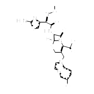 CO/N=C(\C(=O)N[C@@H]1C(=O)N2C(C(=O)[O-])=C(Cn3cc[n+]4cc(Cl)ccc34)CS[C@H]12)c1csc(N)n1